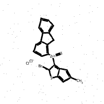 CC1=CC2=[C]([Zr+2](=[S])[c]3cccc4c3Cc3ccccc3-4)C(Br)SC2=C1.[Cl-].[Cl-]